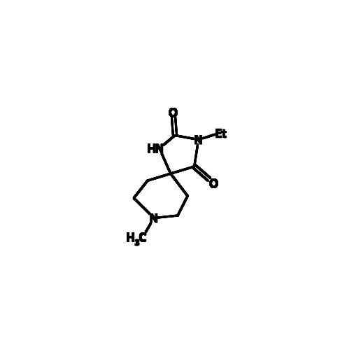 CCN1C(=O)NC2(CCN(C)CC2)C1=O